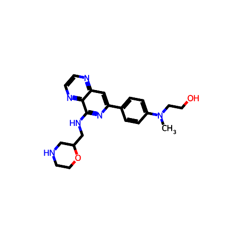 CN(CCO)c1ccc(-c2cc3nccnc3c(NCC3CNCCO3)n2)cc1